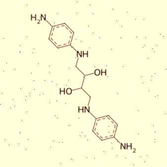 Nc1ccc(NCC(O)C(O)CNc2ccc(N)cc2)cc1